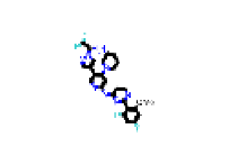 COc1cc(F)cc(F)c1-c1nccc(Nc2cc(N3CCC[C@H](N)C3)c(-c3cnn(CC(F)F)c3)cn2)n1